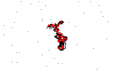 C1=CC2c3cc(-c4ccc(C5=CC(c6ccccc6)=NC(C6=CCCCC6)N5)cc4)ccc3N(C3=C(c4cccc5c6c(oc45)CCCC6)C=CCC3)C2C=C1